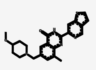 COC1CCN(Cc2cc(C)c3nc(-c4cc5sccc5cn4)[nH]c(=O)c3c2)CC1